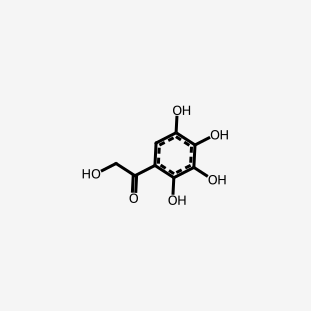 O=C(CO)c1cc(O)c(O)c(O)c1O